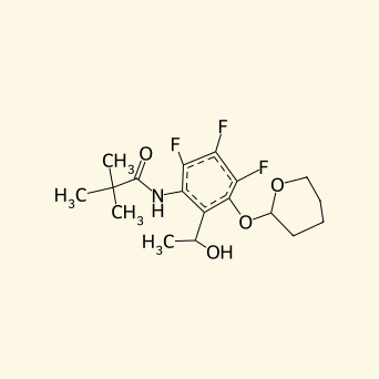 CC(O)c1c(NC(=O)C(C)(C)C)c(F)c(F)c(F)c1OC1CCCCO1